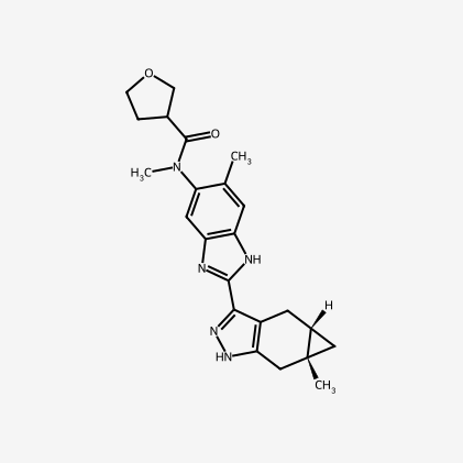 Cc1cc2[nH]c(-c3n[nH]c4c3C[C@@H]3C[C@]3(C)C4)nc2cc1N(C)C(=O)C1CCOC1